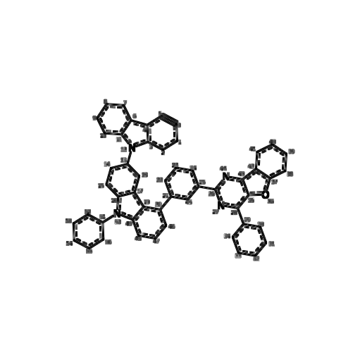 c1ccc2c(c#1)c1ccccc1n2-c1ccc2c(c1)c1c(-c3cccc(-c4nc(-c5ccccc5)c5oc6ccccc6c5n4)c3)cccc1n2-c1ccccc1